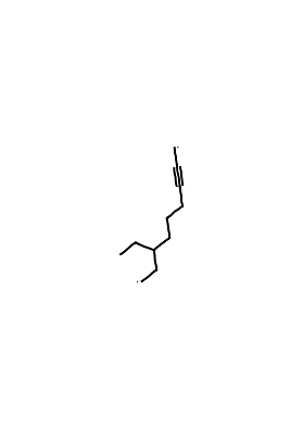 [CH2]C#CCCCC(C[CH2])CC